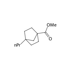 CCCC12CCC(C(=O)OC)(CC1)C2